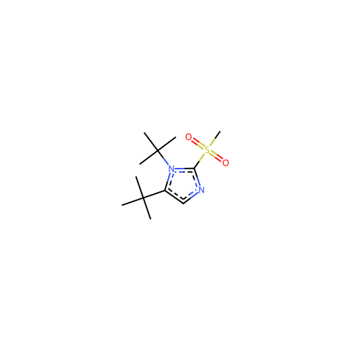 CC(C)(C)c1cnc(S(C)(=O)=O)n1C(C)(C)C